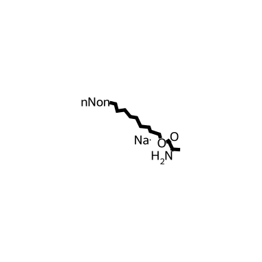 CCCCCCCCCCCCCCCCCCOC(=O)C(C)N.[Na]